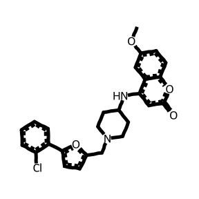 COc1ccc2oc(=O)cc(NC3CCN(Cc4ccc(-c5ccccc5Cl)o4)CC3)c2c1